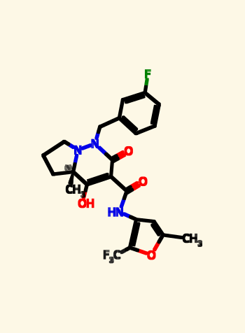 Cc1cc(NC(=O)C2=C(O)[C@]3(C)CCCN3N(Cc3cccc(F)c3)C2=O)c(C(F)(F)F)o1